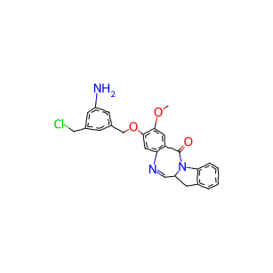 COc1cc2c(cc1OCc1cc(N)cc(CCl)c1)N=CC1Cc3ccccc3N1C2=O